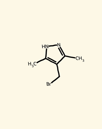 Cc1n[nH]c(C)c1CBr